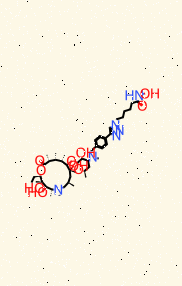 CC[C@H]1OC(=O)[C@H](C)[C@H](C)[C@H](C)[C@@H](O[C@@H]2O[C@H](C)C[C@H](N(C)Cc3ccc(-c4cn(CCCCCC(=O)NO)nn4)cc3)[C@@H]2O)[C@](C)(O)C[C@@H](C)CN(C)[C@H](C)[C@@H](O)[C@]1(C)O